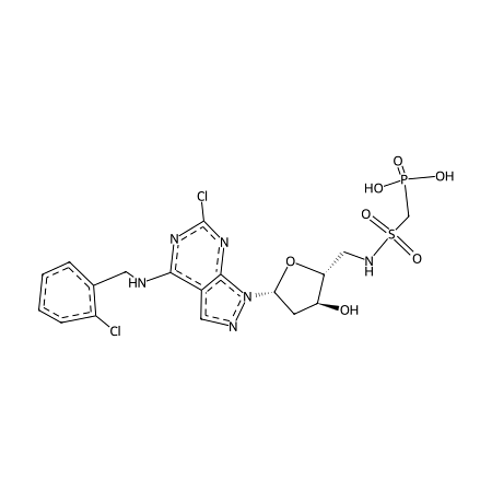 O=P(O)(O)CS(=O)(=O)NC[C@H]1O[C@@H](n2ncc3c(NCc4ccccc4Cl)nc(Cl)nc32)C[C@@H]1O